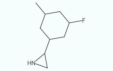 CC1CC(F)CC(C2CN2)C1